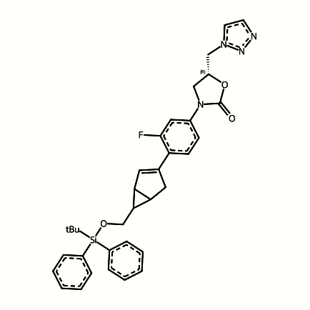 CC(C)(C)[Si](OCC1C2C=C(c3ccc(N4C[C@H](Cn5ccnn5)OC4=O)cc3F)CC21)(c1ccccc1)c1ccccc1